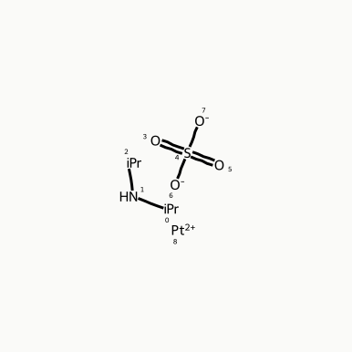 CC(C)NC(C)C.O=S(=O)([O-])[O-].[Pt+2]